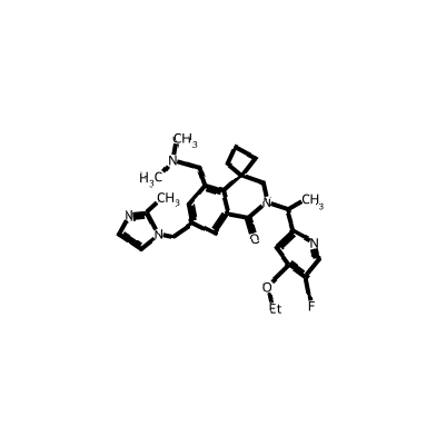 CCOc1cc(C(C)N2CC3(CCC3)c3c(CN(C)C)cc(Cn4ccnc4C)cc3C2=O)ncc1F